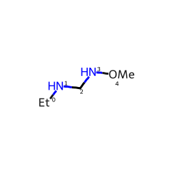 CCNCNOC